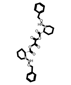 O=C(OC(=O)[C@H]1CCCCN1NOCc1ccccc1)C(=O)OC(=O)[C@H]1CCCCN1NOCc1ccccc1